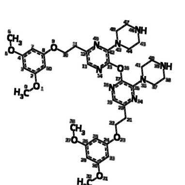 COc1cc(OC)cc(OCCc2cnc(Oc3ncc(CCOc4cc(OC)cc(OC)c4)nc3N3CCNCC3)c(N3CCNCC3)n2)c1